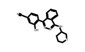 N#Cc1ccc(-c2nnc(NC3CCCOC3)c3ccccc23)c(O)c1